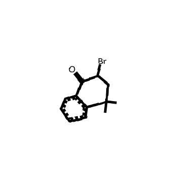 CC1(C)CC(Br)C(=O)c2ccccc21